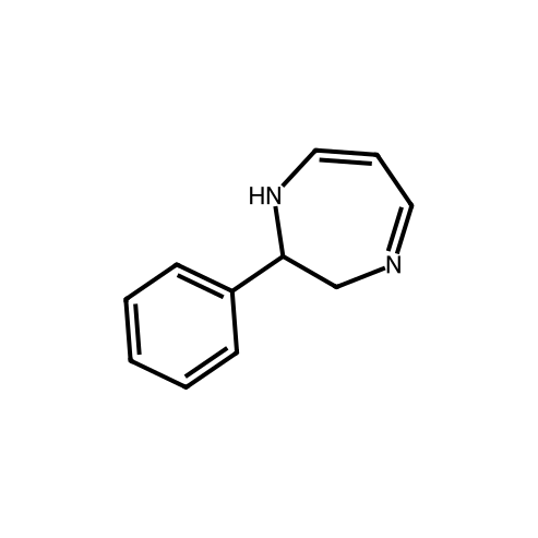 C1=CNC(c2ccccc2)CN=C1